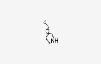 C1=CC=CNC=C1.O=CC1CC1